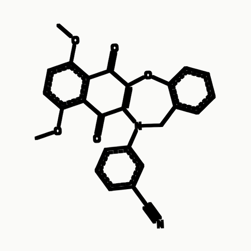 COc1ccc(OC)c2c1C(=O)C1=C(C2=O)N(c2cccc(C#N)c2)Cc2ccccc2O1